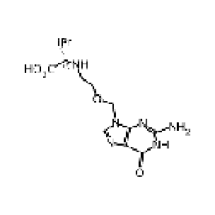 CC(C)[C@H](NCCOCn1cnc2c(=O)[nH]c(N)nc21)C(=O)O